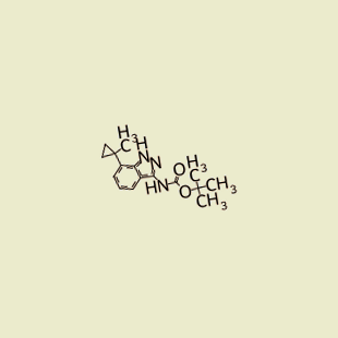 CC(C)(C)OC(=O)Nc1n[nH]c2c(C3(C)CC3)cccc12